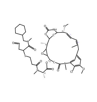 COc1cc2cc(c1Cl)N(C)C(=O)C[C@H](OC(=O)[C@H](C)N(C)C(=O)CCSC(CC=O)C(=O)N(C)CC1CCCCC1)C1OC1[C@H](C)C1CC(NC(=O)O1)[C@H](OC)/C=C/C=C(\C)C2